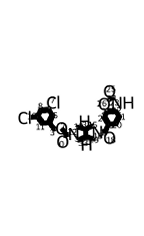 O=C(OCc1cc(Cl)cc(Cl)c1)N1C[C@@H]2CN(C(=O)c3ccc4[nH]c(=O)oc4c3)C[C@@H]2C1